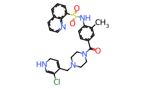 Cc1cc(C(=O)N2CCN(CC3=CCNC=C3Cl)CC2)ccc1NS(=O)(=O)c1cccc2cccnc12